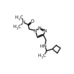 CC(NCc1cn(CC(=O)N(C)C)nn1)C1CCC1